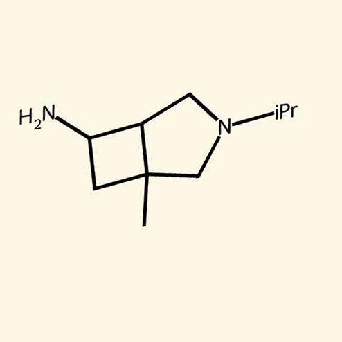 CC(C)N1CC2C(N)CC2(C)C1